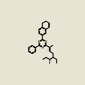 CCC(C/C=C(\C)c1nc(-c2ccccc2)nc(-c2ccc3c(c2)C=CCC3)n1)[C@@H](C)CC